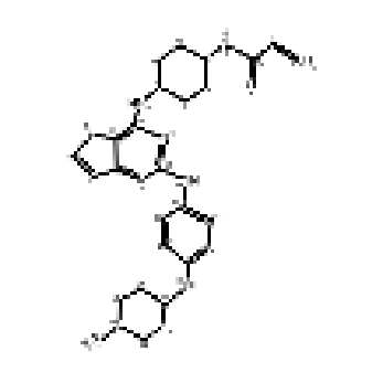 C=CC(=O)N[C@H]1CC[C@@H](Nc2nc(Nc3ccc(NC4CCN(C)CC4)cc3)nc3ccsc23)CC1